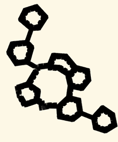 c1ccc(-c2cccc(-n3c4cccc(c4)[nH]c4ccc(-c5ccccc5)cc4c4cccc5ccc3cc54)c2)cc1